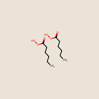 CCCCCC(=O)OO.CCCCCC(=O)OO